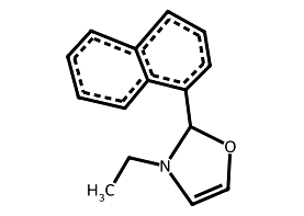 CCN1C=COC1c1cccc2ccccc12